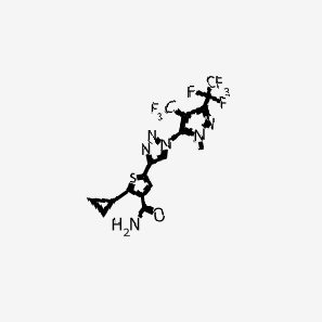 Cn1nc(C(F)(F)C(F)(F)F)c(C(F)(F)F)c1-n1cc(-c2cc(C(N)=O)c(C3CC3)s2)nn1